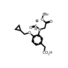 CC(C)(C)OC(=O)CN(c1cc(CC(=O)O)ccc1OCC1CC1)[SH](=O)=O